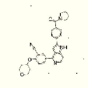 N#Cc1cc(-c2nccc3[nH]c(-c4ccc(C(=O)N5CCCC5)cc4)cc23)ccc1OC1CCOCC1